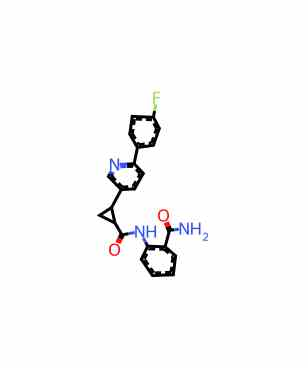 NC(=O)c1ccccc1NC(=O)C1CC1c1ccc(-c2ccc(F)cc2)nc1